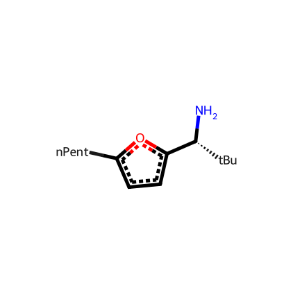 CCCCCc1ccc([C@H](N)C(C)(C)C)o1